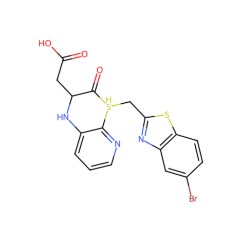 O=C(O)CC1Nc2cccnc2[SH](Cc2nc3cc(Br)ccc3s2)C1=O